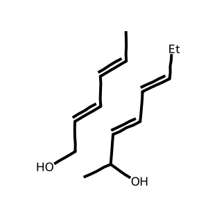 C/C=C/C=C/CO.CC/C=C/C=C/C(C)O